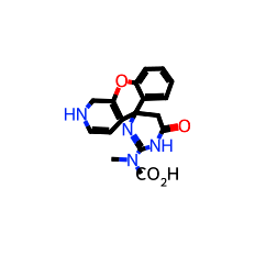 CN(C(=O)O)C1=NC2(CC(=O)N1)C1=C(CNC=C1)Oc1ccccc12